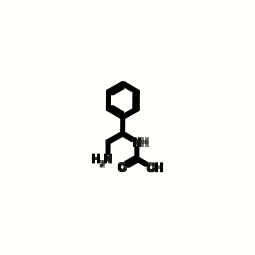 NCC(NC(=O)O)c1ccccc1